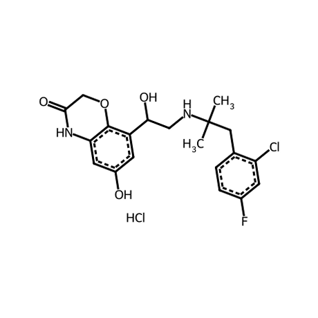 CC(C)(Cc1ccc(F)cc1Cl)NCC(O)c1cc(O)cc2c1OCC(=O)N2.Cl